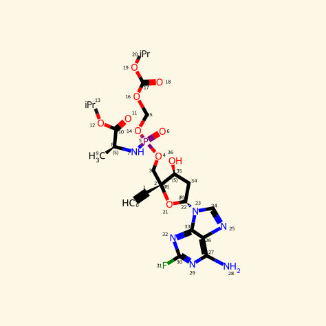 C#C[C@]1(COP(=O)(N[C@@H](C)C(=O)OC(C)C)OCOC(=O)OC(C)C)O[C@@H](n2cnc3c(N)nc(F)nc32)C[C@@H]1O